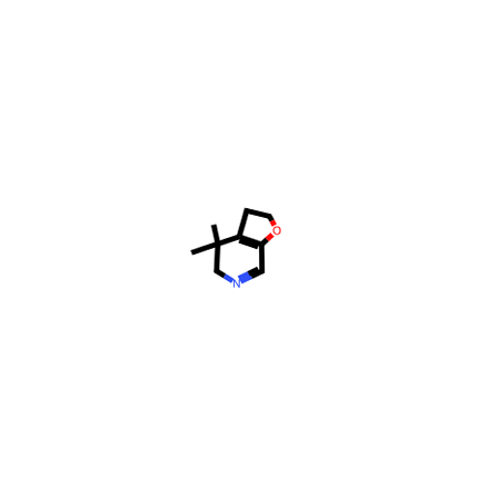 CC1(C)CN=CC2=C1CCO2